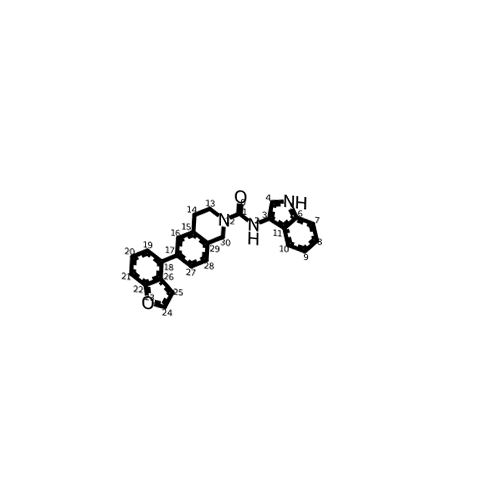 O=C(Nc1c[nH]c2ccccc12)N1CCc2cc(-c3cccc4occc34)ccc2C1